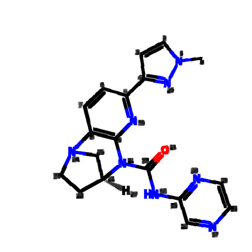 Cn1ccc(-c2ccc3c(n2)N(C(=O)Nc2cnccn2)[C@H]2CCN3C2)n1